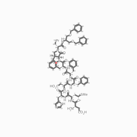 CSCC[C@H](NC(=O)[C@@H](N)CC(=O)O)C(=O)N[C@@H](Cc1cnc[nH]1)C(=O)N[C@@H](CC(=O)O)C(=O)N[C@@H](Cc1ccccc1)C(=O)N[C@@H](Cc1ccccc1)C(=O)N[C@@H](Cc1ccccc1)C(=O)N1CC[C@@H]2CN([C@H](CC(C)C)C(=O)NC(COCc3ccccc3)COCc3ccccc3)C(=O)[C@@H]21